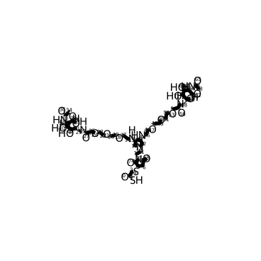 O=C(S)CSC1CC(=O)N(CCN2CC(NCCOCCOCCOCC(=O)NC[C@H]3O[C@@H]4OCC(=O)N[C@H]4[C@@H](O)[C@H]3O)C(NCCOCCOCCOCC(=O)NC[C@H]3O[C@@H]4OCC(=O)N[C@H]4[C@@H](O)[C@H]3O)C2)C1=O